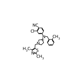 Cc1nc(C)c(CN2CC[C@H](N(Cc3ccccc3C)c3ccc(C#N)c(Cl)c3)C2)s1